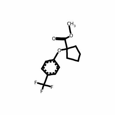 COC(=O)C1(Oc2ccc(C(F)(F)F)cc2)CCCC1